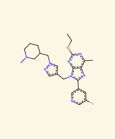 CCOc1nc(C)c2nc(-c3cncc(F)c3)n(Cc3cnn(CC4CCCN(C)C4)c3)c2n1